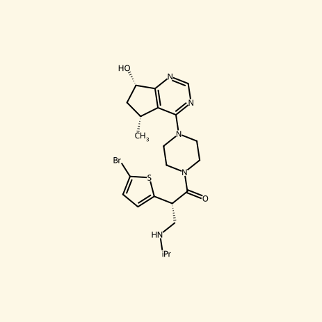 CC(C)NC[C@@H](C(=O)N1CCN(c2ncnc3c2[C@H](C)C[C@@H]3O)CC1)c1ccc(Br)s1